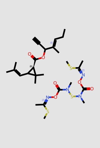 C#CC(OC(=O)[C@@H]1C(C=C(C)C)C1(C)C)/C(C)=C/CC.CS/C(C)=N\OC(=O)N(C)SN(C)C(=O)O/N=C(/C)SC